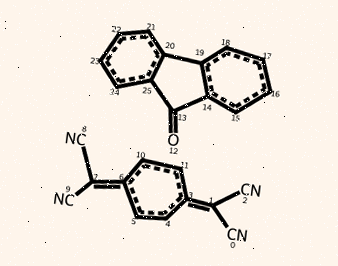 N#CC(C#N)=c1ccc(=C(C#N)C#N)cc1.O=C1c2ccccc2-c2ccccc21